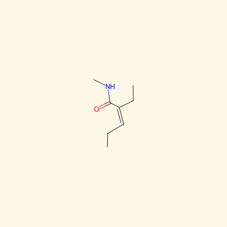 CCC=C(CC)C(=O)NC